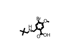 COc1cc(C(=O)O)c(CNCC(C)(C)C)cc1Br